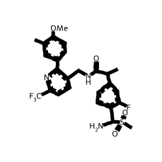 COc1ccc(-c2nc(C(F)(F)F)ccc2CNC(=O)C(C)c2ccc(C(N)S(C)(=O)=O)c(F)c2)cc1C